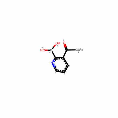 COC(=O)c1cccnc1B(O)O